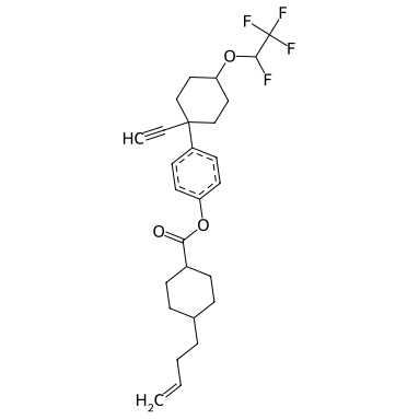 C#CC1(c2ccc(OC(=O)C3CCC(CCC=C)CC3)cc2)CCC(OC(F)C(F)(F)F)CC1